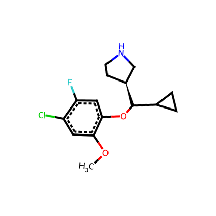 COc1cc(Cl)c(F)cc1OC(C1CC1)[C@H]1CCNC1